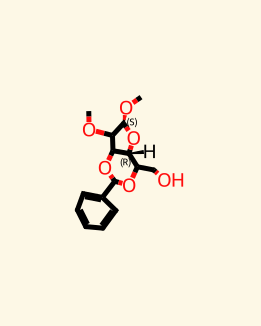 COC1C2OC(c3ccccc3)OC(CO)[C@H]2O[C@@H]1OC